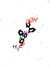 COc1ccc(F)c(-c2ccc(OCc3cccc(C(CC(=O)O)C4CC4)c3)cc2CC2(C#N)CCCC2)c1